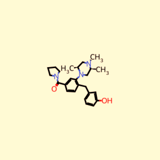 C[C@H]1CN(c2cc(C(=O)N3CCCC3)ccc2Cc2cccc(O)c2)[C@@H](C)CN1C